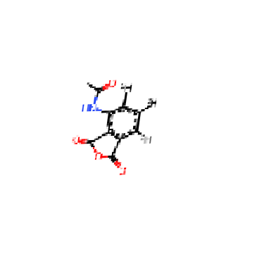 [2H]c1c([2H])c(NC(C)=O)c2c(c1[2H])C(=O)OC2=O